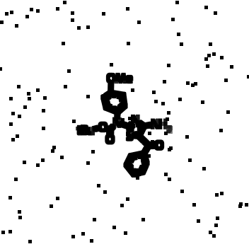 COc1ccc(N(C(=O)OC(C)(C)C)c2nc(N)c(C(=O)c3ccccc3)s2)cc1